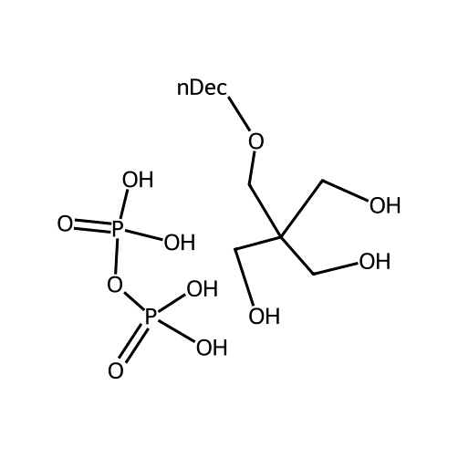 CCCCCCCCCCOCC(CO)(CO)CO.O=P(O)(O)OP(=O)(O)O